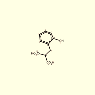 O=C(O)C(Cc1ccccc1O)C(=O)O